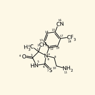 CC1(C)C(=O)NC(=S)[N+]1(CCN)c1ccc(C#N)c(C(F)(F)F)c1